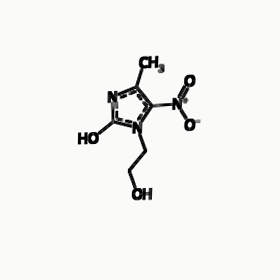 Cc1nc(O)n(CCO)c1[N+](=O)[O-]